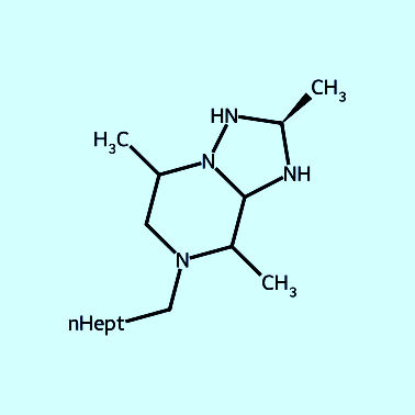 CCCCCCCCN1CC(C)N2N[C@@H](C)NC2C1C